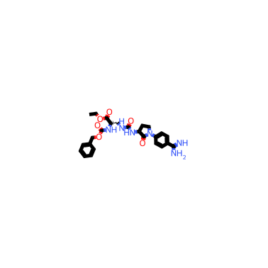 CCOC(=O)[C@H](CNC(=O)NC1CCN(c2ccc(C(=N)N)cc2)C1=O)NC(=O)OCc1ccccc1